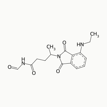 CCNc1cccc2c1C(=O)N(C(C)CCC(=O)NC=O)C2=O